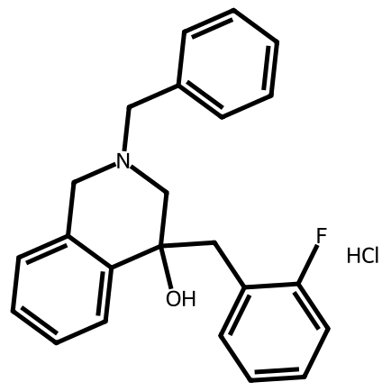 Cl.OC1(Cc2ccccc2F)CN(Cc2ccccc2)Cc2ccccc21